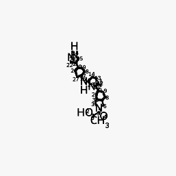 CC(O)C(=O)N1Cc2ccc(-c3nccc(Nc4ccc(-c5cn[nH]c5)cc4)n3)cc2C1